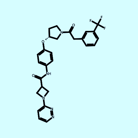 O=C(Nc1ccc(O[C@@H]2CCN(C(=O)Cc3cccc(C(F)(F)F)c3)C2)cc1)C1CN(c2cccnn2)C1